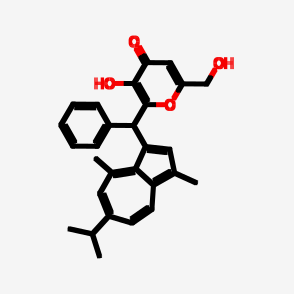 Cc1cc(C(c2ccccc2)c2oc(CO)cc(=O)c2O)c2c(C)cc(C(C)C)ccc1-2